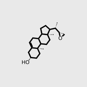 C[C@@H](C1CCC2C3CC=C4C[C@@H](O)CC[C@]4(C)C3CC[C@@]21C)[C@@H]1CO1